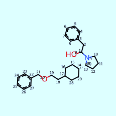 OC(Cc1ccccc1)N1CCC[C@@H]1C1CCC(CCOCc2ccccc2)CC1